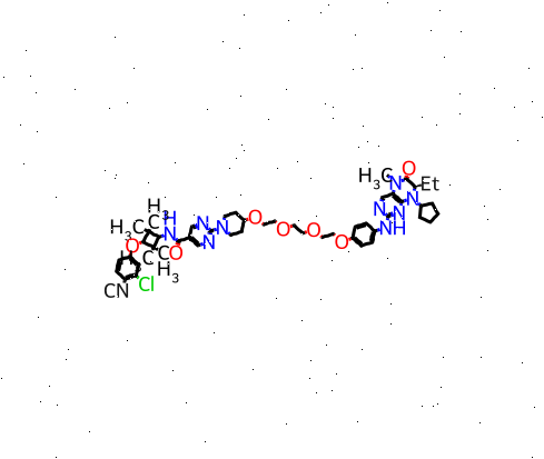 CC[C@@H]1C(=O)N(C)c2cnc(Nc3ccc(OCCOCCOCCOC4CCN(c5ncc(C(=O)NC6C(C)(C)C(Oc7ccc(C#N)c(Cl)c7)C6(C)C)cn5)CC4)cc3)nc2N1C1CCCC1